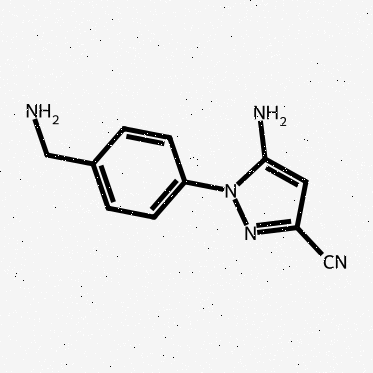 N#Cc1cc(N)n(-c2ccc(CN)cc2)n1